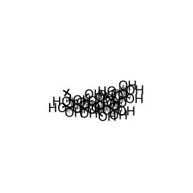 CC(C)(C)C[C@H](O)[C@@H](O)[C@H](O[C@@H]1O[C@H](CO)[C@@H](O[C@@H]2O[C@H](CO)[C@@H](O[C@@H]3O[C@H](CO)[C@@H](O[C@@H]4O[C@H](CO)[C@@H](O)[C@H](O)[C@H]4O)[C@H](O)[C@H]3O)[C@H](O)[C@H]2O)[C@H](O)[C@H]1O)[C@H](O)CO